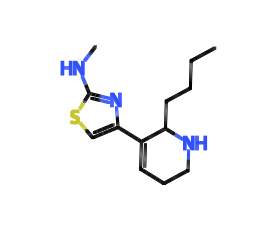 CCCCC1NCCC=C1c1csc(NC)n1